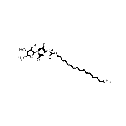 CCCCCCCCCCCCCCCCOC(=O)Nc1nc(=O)n([C@@H]2O[C@@H](C)[C@H](O)[C@H]2O)cc1F